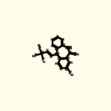 O=C1Nc2ccccc2N(/C=C/C(F)(F)F)c2ccc(F)cc21